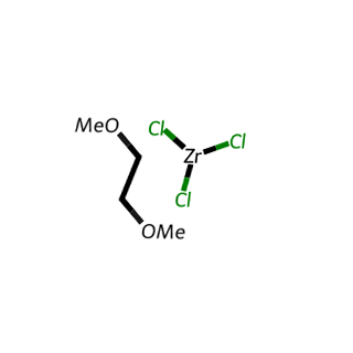 COCCOC.[Cl][Zr]([Cl])[Cl]